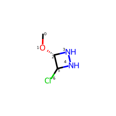 CO[C@@H]1NNC1Cl